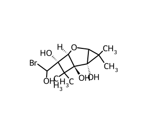 CC1(C)C2O[C@@H]3[C@](O)(C(O)Br)C(C)(C)[C@@]3(O)[C@@]21O